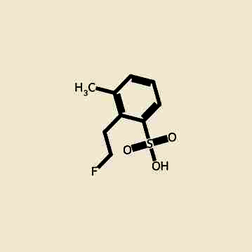 Cc1cccc(S(=O)(=O)O)c1CCF